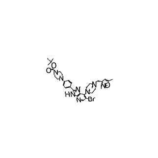 Cc1cc(CN2CCN(c3c(Br)cnc4[nH]c(-c5ccc(N6CCN(C(=O)OC(C)(C)C)CC6)cc5)nc34)CC2)no1